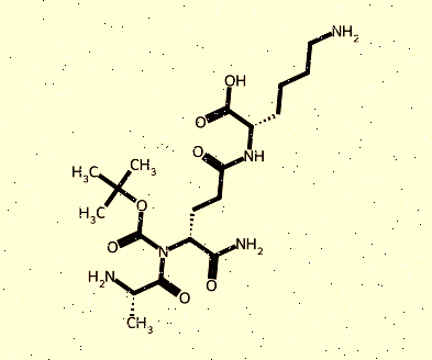 C[C@H](N)C(=O)N(C(=O)OC(C)(C)C)[C@H](CCC(=O)N[C@@H](CCCCN)C(=O)O)C(N)=O